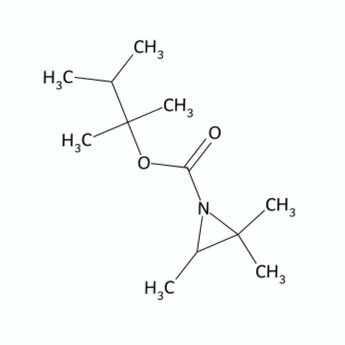 CC(C)C(C)(C)OC(=O)N1C(C)C1(C)C